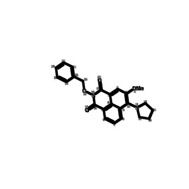 COc1cc2c3c(cccc3c1N1CCCC1)C(=O)N(OCc1ccccc1)C2=O